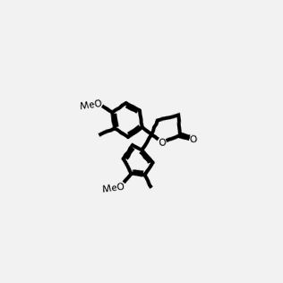 COc1ccc(C2(c3ccc(OC)c(C)c3)CCC(=O)O2)cc1C